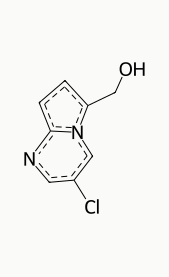 OCc1ccc2ncc(Cl)cn12